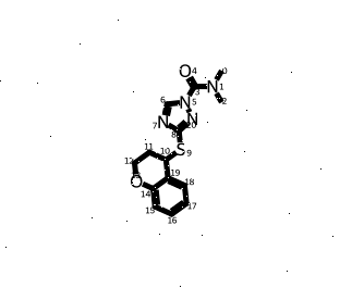 CN(C)C(=O)n1cnc(SC2CCOc3ccccc32)n1